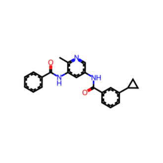 Cc1ncc(NC(=O)c2cccc(C3CC3)c2)cc1NC(=O)c1ccccc1